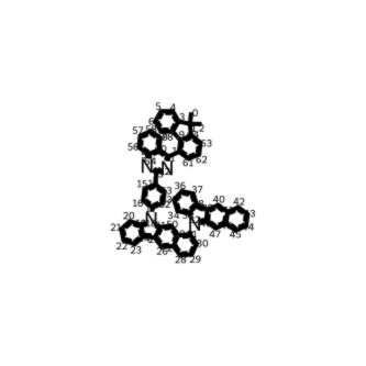 CC1(C)c2ccccc2-c2c(-c3nc(-c4ccc(-n5c6ccccc6c6cc7cccc(-n8c9ccccc9c9cc%10ccccc%10cc98)c7cc65)cc4)nc4ccccc34)cccc21